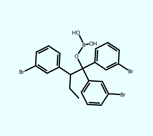 CCC(c1cccc(Br)c1)C(OB(O)O)(c1cccc(Br)c1)c1cccc(Br)c1